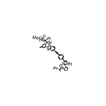 C=C1C[C@@H](c2nc3cc(C#Cc4ccc(-c5c[nH]c([C@@H]6CCCN6C(=O)[C@@H](C)C(C)C)n5)cc4)ccc3[nH]2)N(C(=O)[C@@H](NC(=O)OC)C(C)C)C1